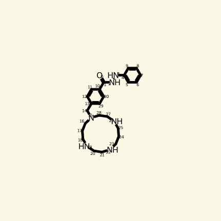 O=C(NNc1ccccc1)c1ccc(CN2CCCNCCNCCCNCC2)cc1